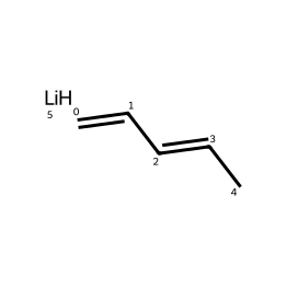 C=CC=CC.[LiH]